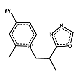 Cc1cc(C(C)C)cc[n+]1CC(C)c1nnco1